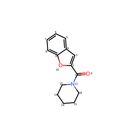 O=C(c1cc2ccccc2o1)N1CC[CH]CC1